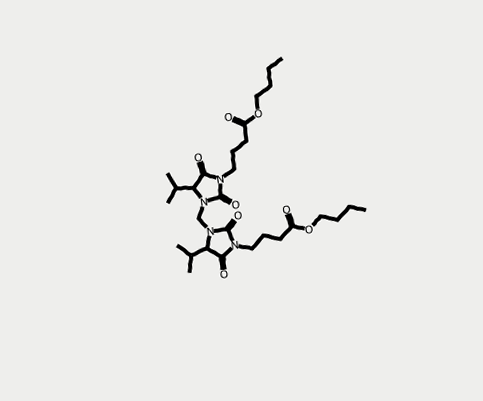 CCCCOC(=O)CCCN1C(=O)C(C(C)C)N(CN2C(=O)N(CCCC(=O)OCCCC)C(=O)C2C(C)C)C1=O